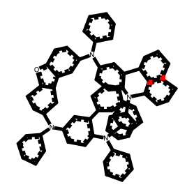 c1ccc(-c2cc(N(c3ccccc3)c3ccc4oc5ccc(N(c6ccccc6)c6ccc(N(c7ccccc7)c7ccccc7)c(-c7ccccc7)c6)cc5c4c3)ccc2N(c2ccccc2)c2ccccc2)cc1